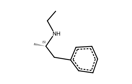 CCN[C@@H](C)Cc1ccccc1